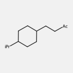 CC(=O)CCC1CCC(C(C)C)CC1